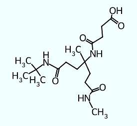 CNC(=O)CCC(C)(CCC(=O)NC(C)(C)C)NC(=O)CCC(=O)O